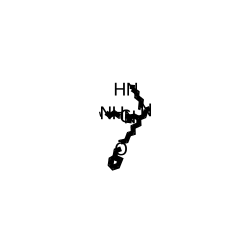 CNCCCCN(C)CC(CCCCCCOCc1ccccc1)CN(C)CCCCNC